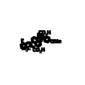 COc1ccc(S(=O)(=O)N(CC(=O)O)c2ccc(N(Cc3ccccc3F)[C@@H](C)CC(=O)O)c3ccccc23)cc1